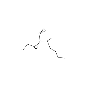 [CH2]COC(C=O)C(C)CCCC